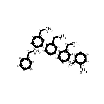 CCc1ccccc1.CCc1ccccc1.CCc1ccccc1.CCc1ccccc1.Cc1ccccc1C